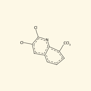 Clc1cc2cccc(C(Cl)(Cl)Cl)c2nc1Cl